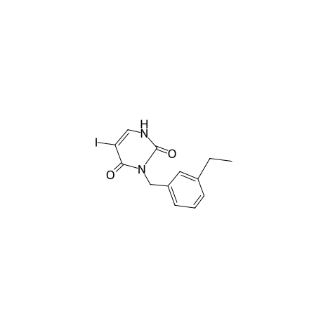 CCc1cccc(Cn2c(=O)[nH]cc(I)c2=O)c1